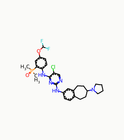 CP(C)(=O)c1cc(OC(F)F)ccc1Nc1nc(Nc2ccc3c(c2)CCC(N2CCCC2)CC3)ncc1Cl